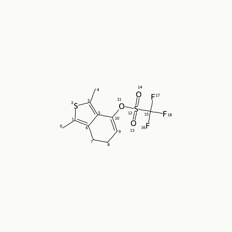 Cc1sc(C)c2c1CCC=C2OS(=O)(=O)C(F)(F)F